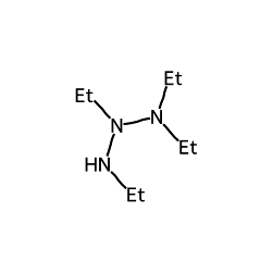 CCNN(CC)N(CC)CC